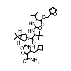 CC(C)[C@H](NC(=O)N[C@H](C(=O)N1C[C@H]2[C@@H]([C@H]1C(=O)NC(CC1CCC1)C(=O)C(N)=O)C2(C)C)C(C)(C)C)C(=O)OCc1ccco1